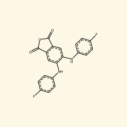 O=C1OC(=O)c2cc(Nc3ccc(F)cc3)c(Nc3ccc(F)cc3)cc21